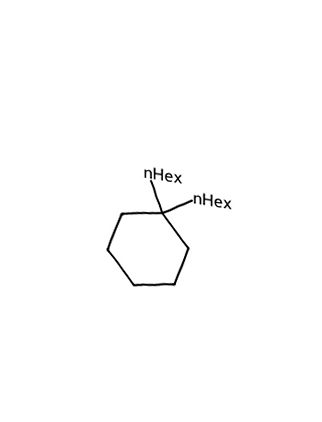 CCCCCCC1(CCCCCC)CCCCC1